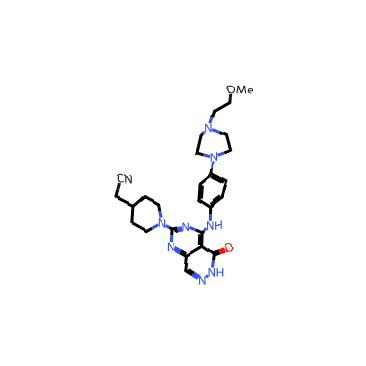 COCCN1CCN(c2ccc(Nc3nc(N4CCC(CC#N)CC4)nc4cn[nH]c(=O)c34)cc2)CC1